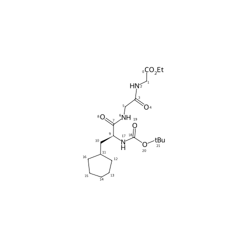 CCOC(=O)CNC(=O)CNC(=O)[C@H](CC1CCCCC1)NC(=O)OC(C)(C)C